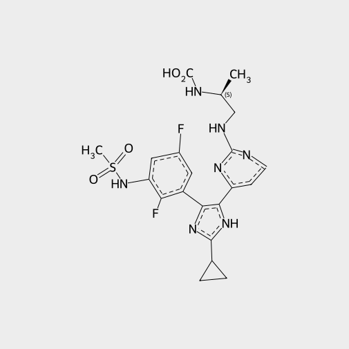 C[C@@H](CNc1nccc(-c2[nH]c(C3CC3)nc2-c2cc(F)cc(NS(C)(=O)=O)c2F)n1)NC(=O)O